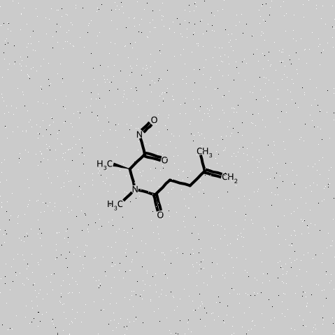 C=C(C)CCC(=O)N(C)[C@@H](C)C(=O)N=O